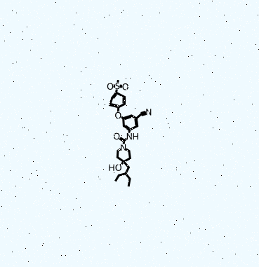 CCC(CC)CC1(O)CCN(C(=O)Nc2cc(C#N)cc(Oc3ccc(S(C)(=O)=O)cc3)c2)CC1